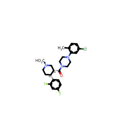 Cc1ccc(Cl)cc1N1CCN(C(=O)[C@H]2CN(C(=O)O)CC[C@H]2c2ccc(F)cc2F)CC1